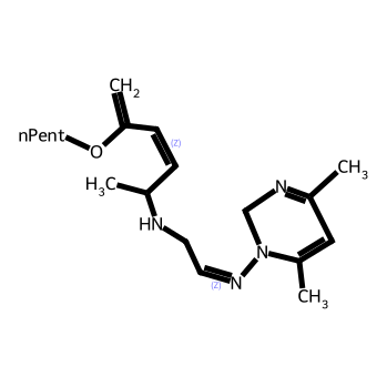 C=C(/C=C\C(C)NC/C=N\N1CN=C(C)C=C1C)OCCCCC